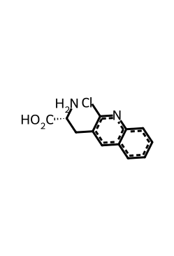 N[C@H](Cc1cc2ccccc2nc1Cl)C(=O)O